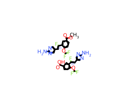 COC(=O)c1ccc(OC(F)F)c(/C(F)=C/c2cnc(N)nc2)c1.Nc1ncc(/C=C(\F)c2cc(C(=O)O)ccc2OC(F)F)cn1